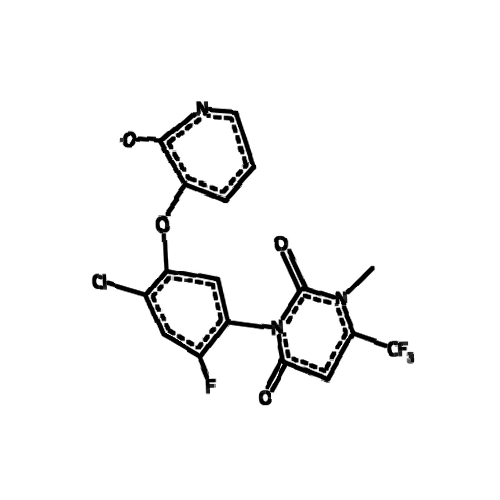 Cn1c(C(F)(F)F)cc(=O)n(-c2cc(Oc3cccnc3[O])c(Cl)cc2F)c1=O